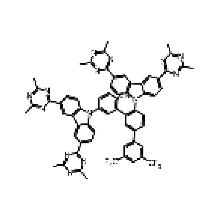 Cc1nc(C)nc(-c2ccc3c(c2)c2cc(-c4nc(C)nc(C)n4)ccc2n3-c2ccc(C#N)c(-c3cc(-c4cc(C(F)(F)F)cc(C(F)(F)F)c4)ccc3-n3c4ccc(-c5nc(C)nc(C)n5)cc4c4cc(-c5nc(C)nc(C)n5)ccc43)c2)n1